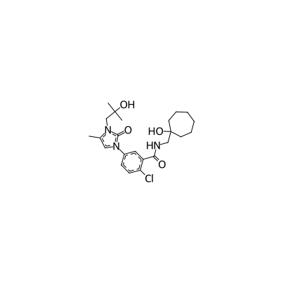 Cc1cn(-c2ccc(Cl)c(C(=O)NCC3(O)CCCCCC3)c2)c(=O)n1CC(C)(C)O